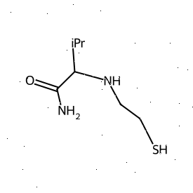 CC(C)C(NCCS)C(N)=O